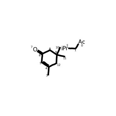 CC(=O)CC(C)C.CC1=CC(=O)CC(C)(C)C1